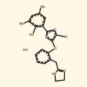 CCc1oc(-c2cc(C(C)(C)C)cc(C(C)(C)C)c2O)nc1Oc1ccccc1CC1=NCCN1.Cl